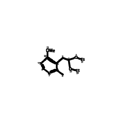 CCOC(Cc1c(C)ncnc1OC)OCC